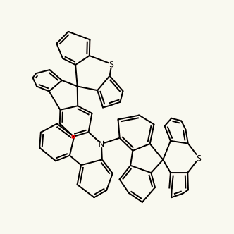 c1ccc(-c2ccccc2N(c2ccc3c(c2)C2(c4ccccc4Sc4ccccc42)c2ccccc2-3)c2cccc3c2-c2ccccc2C32c3ccccc3Sc3ccccc32)cc1